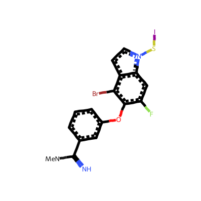 CNC(=N)c1cccc(Oc2c(F)cc3c(ccn3SI)c2Br)c1